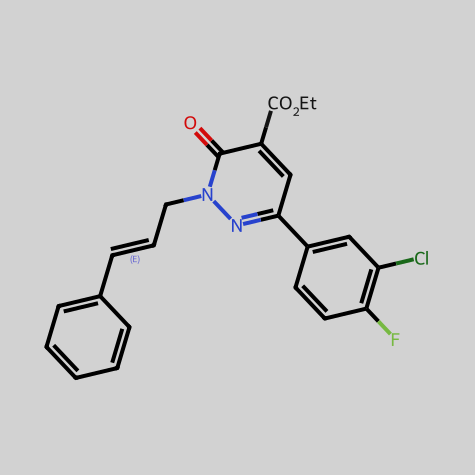 CCOC(=O)c1cc(-c2ccc(F)c(Cl)c2)nn(C/C=C/c2ccccc2)c1=O